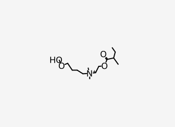 CCC(C)C(=O)OCC[N+](C)(C)CCCCOO